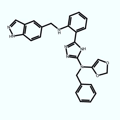 C1=C(N(Cc2ccccc2)c2nnc(-c3ccccc3NCc3ccc4[nH]ncc4c3)[nH]2)OCO1